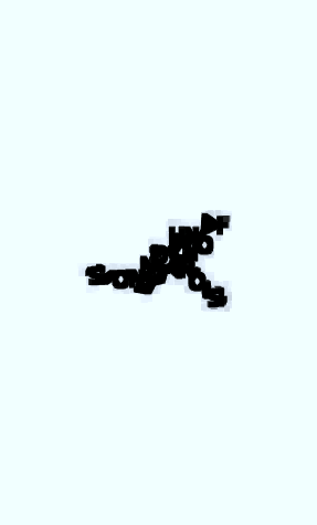 COc1nc2c(ccn2COCC[Si](C)(C)C)cc1-c1cn(COCC[Si](C)(C)C)c2nc(NC(=O)[C@H]3C[C@@H]3F)ccc12